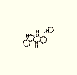 Oc1c(CN2CCCC2)cccc1Nc1ncnc2ccccc12